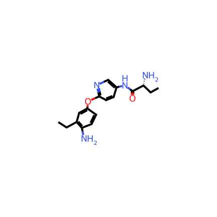 CCc1cc(Oc2ccc(NC(=O)[C@H](N)CC)cn2)ccc1N